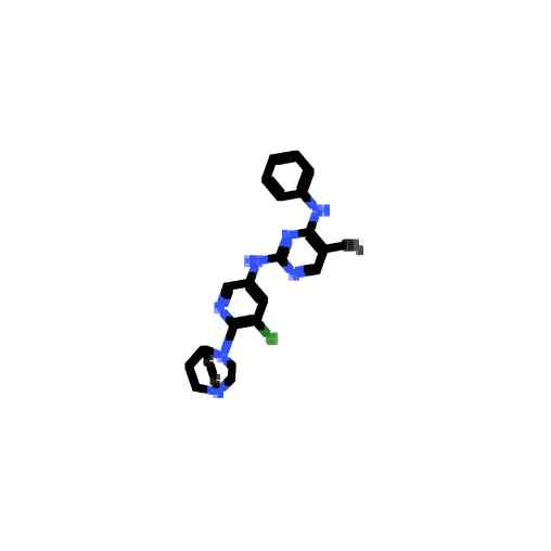 Cc1cnc(Nc2cnc(N3CCN4CCC3CC4)c(Cl)c2)nc1Nc1ccccc1